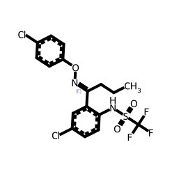 CCC/C(=N\Oc1ccc(Cl)cc1)c1cc(Cl)ccc1NS(=O)(=O)C(F)(F)F